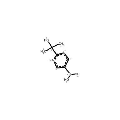 CC(C)(O)c1ncc(B(O)O)cn1